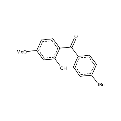 COc1ccc(C(=O)c2ccc(C(C)(C)C)cc2)c(O)c1